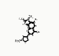 CN1CCC(c2cc(=O)c3cc(F)c4c(nc(C(F)(F)F)n4C)c3o2)C1